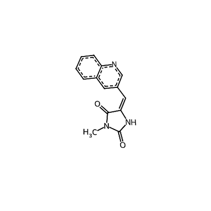 CN1C(=O)NC(=Cc2cnc3ccccc3c2)C1=O